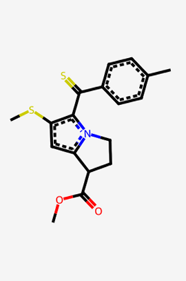 COC(=O)C1CCn2c1cc(SC)c2C(=S)c1ccc(C)cc1